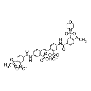 CSc1ccc(C(=O)Nc2ccc(C=Cc3ccc(NC(=O)c4ccc(S(C)(=O)=O)c([N+](=O)[O-])c4)cc3S(=O)(=O)O)c(S(=O)(=O)O)c2)cc1S(=O)(=O)N1CCOCC1